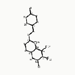 CC1CCC(CCC2CCC3CC(C)C(F)C(F)C3O2)CC1